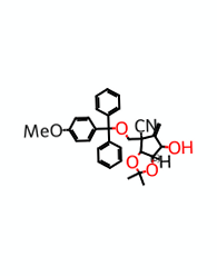 C=C1C(O)[C@@H]2OC(C)(C)OC2C1(C#N)COC(c1ccccc1)(c1ccccc1)c1ccc(OC)cc1